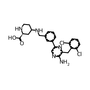 Nc1ncc(-c2cccc(CNC3CCN[C@H](C(=O)O)C3)c2)nc1Cc1c(Cl)cccc1Cl